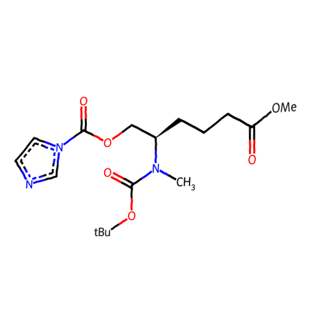 COC(=O)CCC[C@H](COC(=O)n1ccnc1)N(C)C(=O)OC(C)(C)C